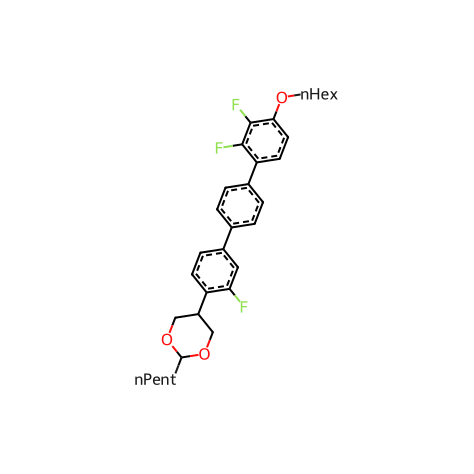 CCCCCCOc1ccc(-c2ccc(-c3ccc(C4COC(CCCCC)OC4)c(F)c3)cc2)c(F)c1F